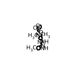 Cc1cc2[nH]c(-c3n[nH]c4c3CC(C)CC4)nc2cc1N(C)C(=O)CN1CCCOC1=O